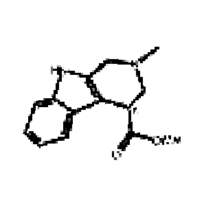 COC(=O)[C@@H]1CN(C)Cc2[nH]c3ccccc3c21